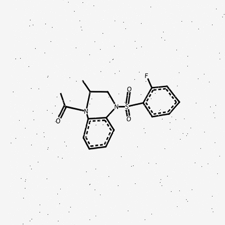 CC(=O)N1c2ccccc2N(S(=O)(=O)c2ccccc2F)CC1C